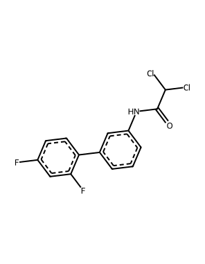 O=C(Nc1cccc(-c2ccc(F)cc2F)c1)C(Cl)Cl